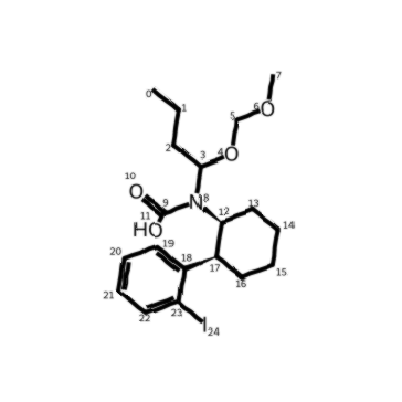 CCCC(OCOC)N(C(=O)O)[C@H]1CCCC[C@H]1c1ccccc1I